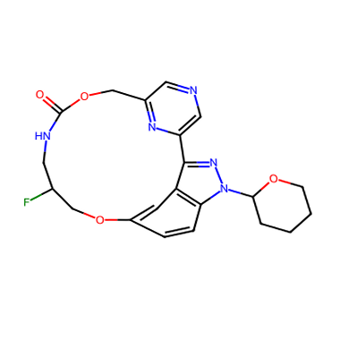 O=C1NCC(F)COc2ccc3c(c2)c(nn3C2CCCCO2)-c2cncc(n2)CO1